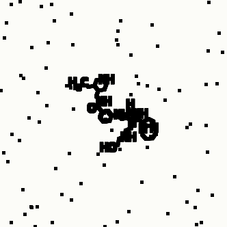 CCC1CNCCC1CNC(=O)c1cccc(NCC2NNC(C3CCN4CCCCN3C4)N2CCNCCO)c1